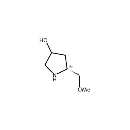 COC[C@H]1CC(O)CN1